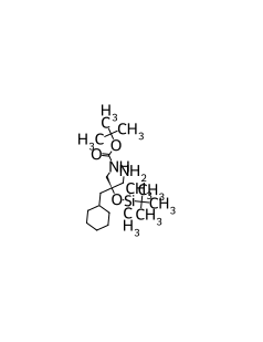 CC(C)(C)OC(=O)NC[C@](CN)(CC1CCCCC1)O[Si](C)(C)C(C)(C)C